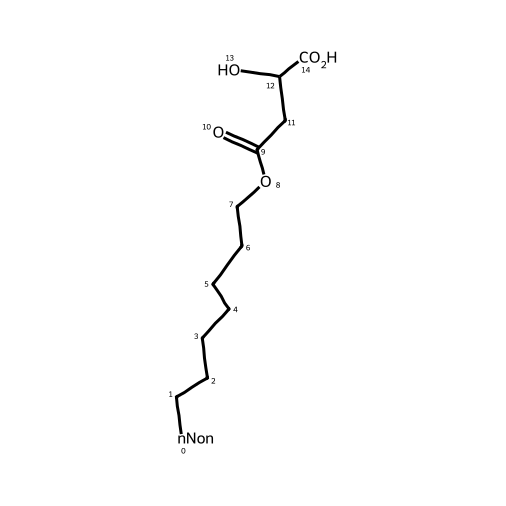 CCCCCCCCCCCCCCCCOC(=O)CC(O)C(=O)O